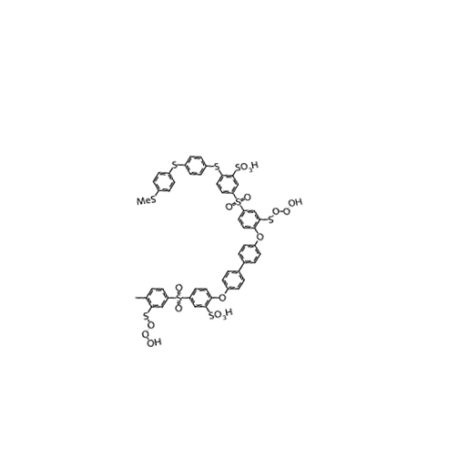 CSc1ccc(Sc2ccc(Sc3ccc(S(=O)(=O)c4ccc(Oc5ccc(-c6ccc(Oc7ccc(S(=O)(=O)c8ccc(C)c(SOOO)c8)cc7S(=O)(=O)O)cc6)cc5)c(SOOO)c4)cc3S(=O)(=O)O)cc2)cc1